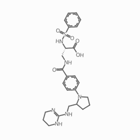 O=C(NC[C@H](NS(=O)(=O)c1ccccc1)C(=O)O)c1ccc(N2CCCC2CNC2=NCCCN2)cc1